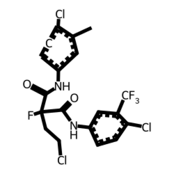 Cc1cc(NC(=O)C(F)(CCCl)C(=O)Nc2ccc(Cl)c(C(F)(F)F)c2)ccc1Cl